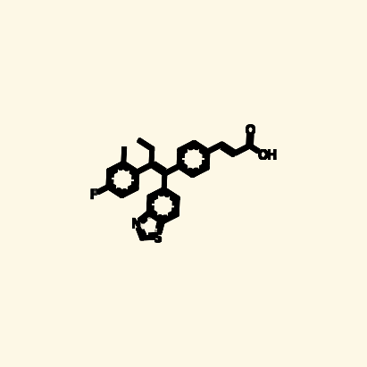 CCC(=C(c1ccc(C=CC(=O)O)cc1)c1ccc2scnc2c1)c1ccc(F)cc1C